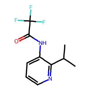 CC(C)c1ncccc1NC(=O)C(F)(F)F